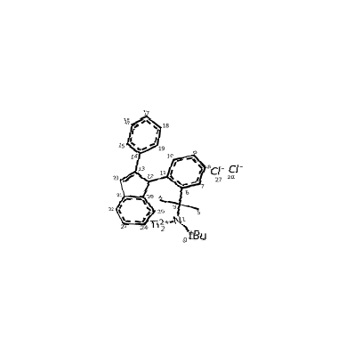 CC(C)(C)[N]([Ti+2])C(C)(C)c1ccccc1C1C(c2ccccc2)=Cc2ccccc21.[Cl-].[Cl-]